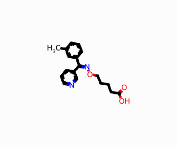 Cc1cccc(C(=NOCCCCC(=O)O)c2cccnc2)c1